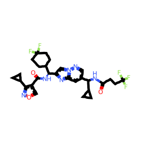 O=C(CCC(F)(F)F)NC(c1cnn2cc([C@@H](NC(=O)c3conc3C3CC3)C3CCC(F)(F)CC3)nc2c1)C1CC1